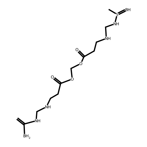 B=S(C)NCNCCC(=O)OCOC(=O)CCNCNC(B)=C